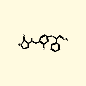 C=CC(Oc1ccc(CNC2CCNC2=O)c(Cl)c1)c1ccccc1